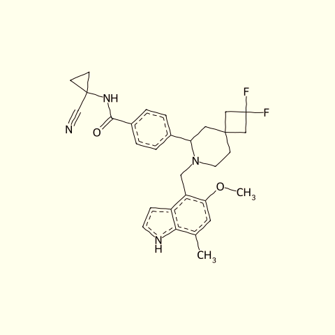 COc1cc(C)c2[nH]ccc2c1CN1CCC2(CC1c1ccc(C(=O)NC3(C#N)CC3)cc1)CC(F)(F)C2